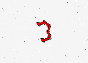 C=C(C(=O)OCC)C(=O)OCC1CCC(COC(=O)C(=C)C(=O)OCC2CCC(COC(=O)C(=C)C(=O)OCCCCCOC(=O)C(=C)C(=O)OCC3CCC(COC(=O)C(=C)C(=O)OCC4CCC(COC(=O)C(=C)C(=O)OCC)CC4)CC3)CC2)CC1